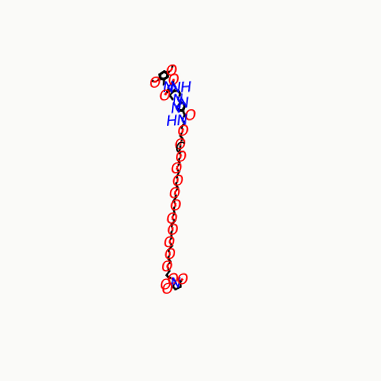 COc1ccc(OC)c(CN2C(=O)NC3(CCN(c4ncc(C(=O)NCCOCCOCCOCCOCCOCCOCCOCCOCCOCCOCCOCCOCCC(=O)ON5C(=O)CCC5=O)cn4)CC3)C2=O)c1